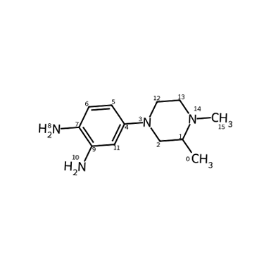 CC1CN(c2ccc(N)c(N)c2)CCN1C